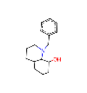 OC1CCCC2CCCN(Cc3ccccc3)C12